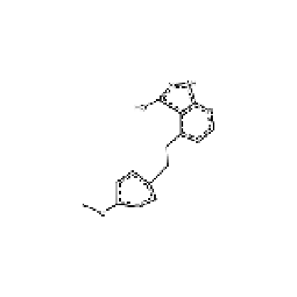 COc1ccc(CCc2ccnc3[nH]nc(O)c23)cc1